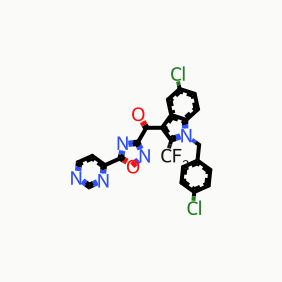 O=C(c1noc(-c2ccncn2)n1)c1c(C(F)(F)F)n(Cc2ccc(Cl)cc2)c2ccc(Cl)cc12